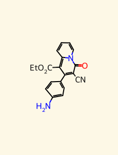 CCOC(=O)c1c(-c2ccc(N)cc2)c(C#N)c(=O)n2ccccc12